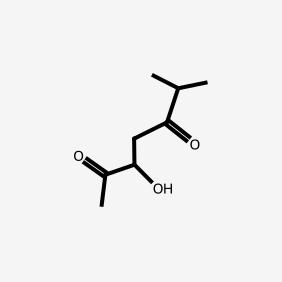 CC(=O)C(O)CC(=O)C(C)C